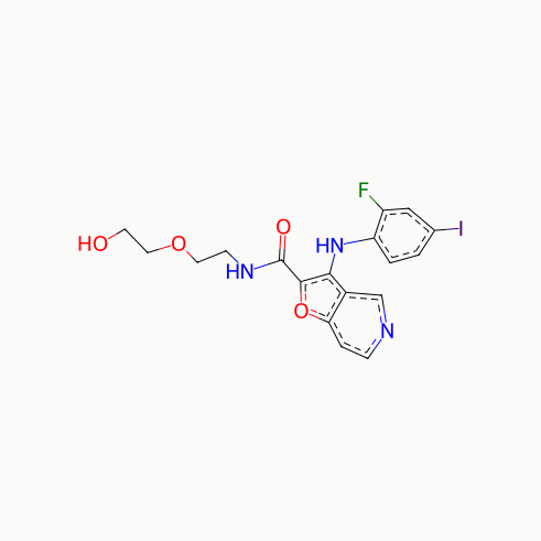 O=C(NCCOCCO)c1oc2ccncc2c1Nc1ccc(I)cc1F